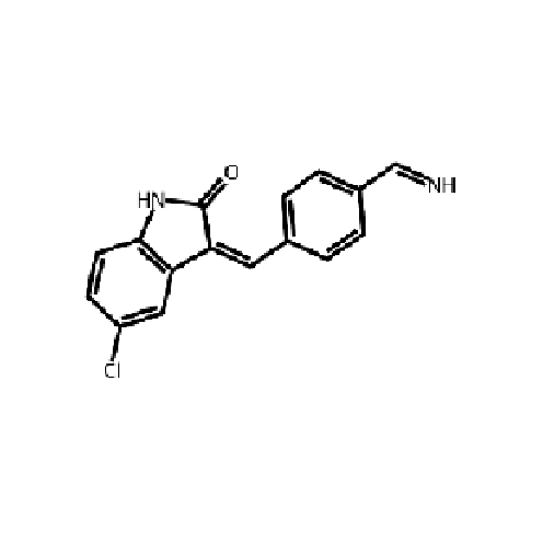 N=Cc1ccc(/C=C2\C(=O)Nc3ccc(Cl)cc32)cc1